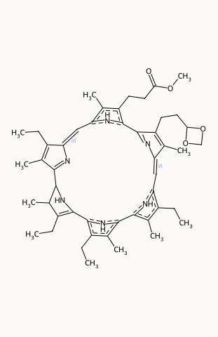 CCC1=C(C)C2=N/C1=C\c1[nH]c(c(CCC(=O)OC)c1C)C1=N/C(=C\c3[nH]c(c(C)c3CC)-c3[nH]c(c(CC)c3C)C3=C(CC)C(C)C2N3)C(C)=C1CCC1OCO1